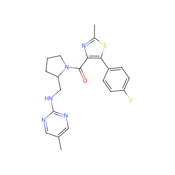 Cc1cnc(NCC2CCCN2C(=O)c2nc(C)sc2-c2ccc(F)cc2)nc1